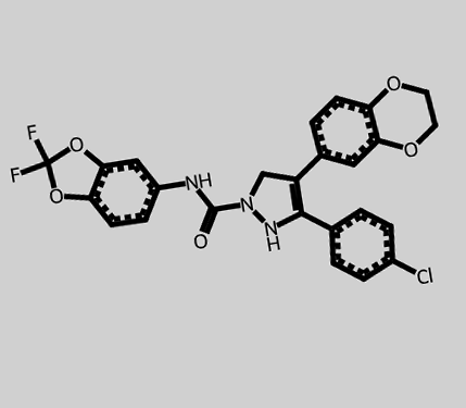 O=C(Nc1ccc2c(c1)OC(F)(F)O2)N1CC(c2ccc3c(c2)OCCO3)=C(c2ccc(Cl)cc2)N1